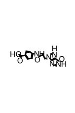 O=C(CCN1CNc2c1nc[nH]c2=O)Nc1ccc(C(=O)O)cc1